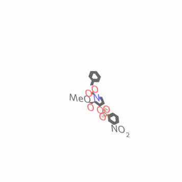 COC(=O)[C@@H]1[C@@H](OS(=O)(=O)c2cccc([N+](=O)[O-])c2)CCN1C(=O)OCc1ccccc1